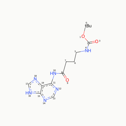 CC(C)(C)OC(=O)NCCCC(=O)Nc1ncnc2[nH]cnc12